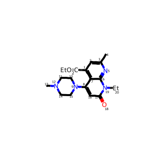 CCOC(=O)c1cc(C)nc2c1c(N1CCN(C)CC1)cc(=O)n2CC